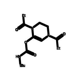 CCC(=O)N1C=C(OC(=O)NC(C)(C)C)N(C(=O)CC)CC1